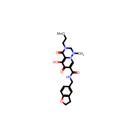 COCCN1CN(C)n2cc(C(=O)NCc3ccc4c(c3)CCO4)c(=O)c(O)c2C1=O